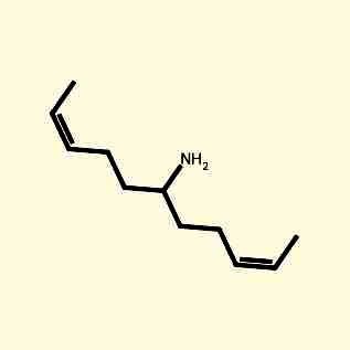 C/C=C\CCC(N)CC/C=C\C